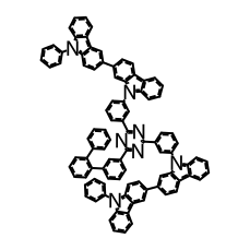 c1ccc(-c2ccccc2-c2cccc(-c3nc(-c4cccc(-n5c6ccccc6c6ccc(-c7ccc8c(c7)c7ccccc7n8-c7ccccc7)cc65)c4)nc(-c4cccc(-n5c6ccccc6c6ccc(-c7ccc8c(c7)c7ccccc7n8-c7ccccc7)cc65)c4)n3)c2)cc1